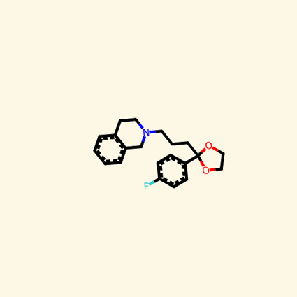 Fc1ccc(C2(CCCN3CCc4ccccc4C3)OCCO2)cc1